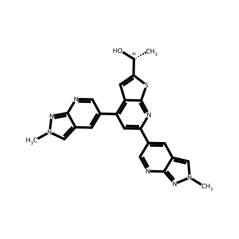 C[C@@H](O)c1cc2c(-c3cnc4nn(C)cc4c3)cc(-c3cnc4nn(C)cc4c3)nc2s1